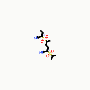 C/C=C(\C#N)S(=O)(=O)C(C)C/C=C(\C#N)S(=O)(=O)C(C)C